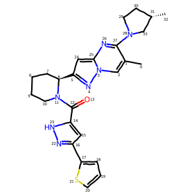 Cc1cn2nc([C@@H]3CCCCN3C(=O)c3cc(-c4cccs4)n[nH]3)cc2nc1N1CC[C@H](C)C1